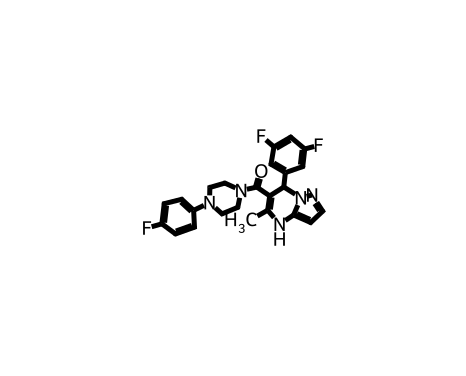 CC1=C(C(=O)N2CCN(c3ccc(F)cc3)CC2)C(c2cc(F)cc(F)c2)n2nccc2N1